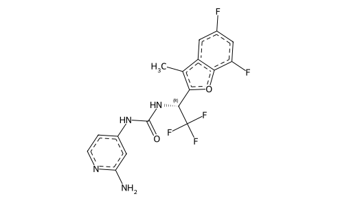 Cc1c([C@@H](NC(=O)Nc2ccnc(N)c2)C(F)(F)F)oc2c(F)cc(F)cc12